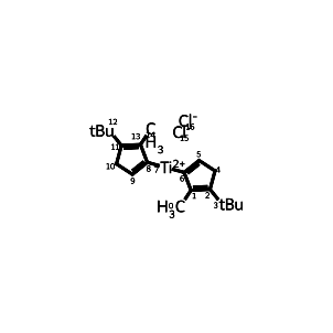 CC1=C(C(C)(C)C)CC=[C]1[Ti+2][C]1=CCC(C(C)(C)C)=C1C.[Cl-].[Cl-]